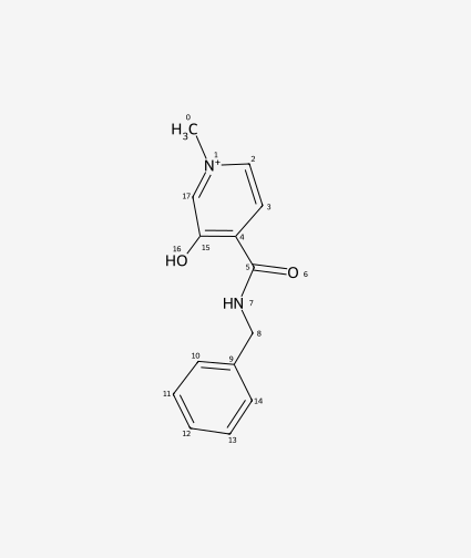 C[n+]1ccc(C(=O)NCc2ccccc2)c(O)c1